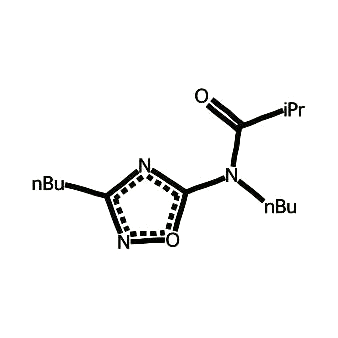 CCCCc1noc(N(CCCC)C(=O)C(C)C)n1